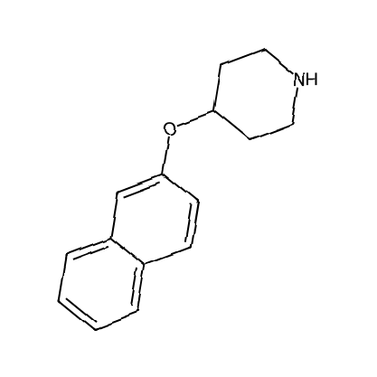 c1ccc2cc(OC3CCNCC3)ccc2c1